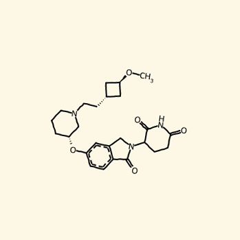 CO[C@H]1C[C@H](CCN2CCC[C@@H](Oc3ccc4c(c3)CN(C3CCC(=O)NC3=O)C4=O)C2)C1